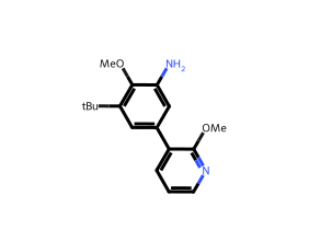 COc1ncccc1-c1cc(N)c(OC)c(C(C)(C)C)c1